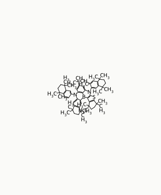 Cc1cc2c(cc1N1c3cc(C(C)(C)C)cc4c3B(c3cc5c(cc3N4c3ccc4c(c3)C(C)(C)CCC4(C)C)C(C)(C)CCC5(C)C)c3c1sc1c3C(C)(C)CCC1(C)C)C(C)(C)CCC2(C)C